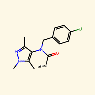 CCCCCCC(=O)N(Cc1ccc(Cl)cc1)c1c(C)nn(C)c1C